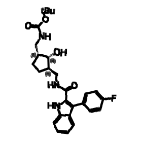 CC(C)(C)OC(=O)NC[C@H]1CC[C@H](CNC(=O)c2[nH]c3ccccc3c2-c2ccc(F)cc2)[C@H]1O